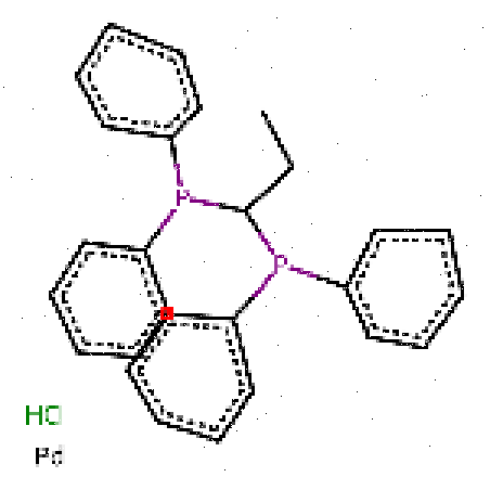 CCC(P(c1ccccc1)c1ccccc1)P(c1ccccc1)c1ccccc1.Cl.[Pd]